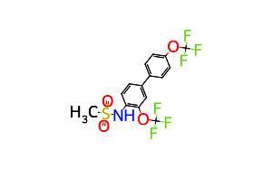 CS(=O)(=O)Nc1ccc(-c2ccc(OC(F)(F)F)cc2)cc1OC(F)(F)F